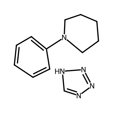 c1ccc(N2CCCCC2)cc1.c1nnn[nH]1